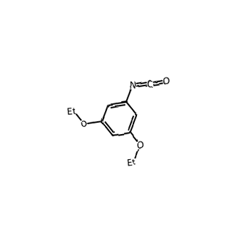 CCOc1cc(N=C=O)cc(OCC)c1